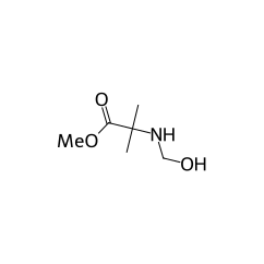 COC(=O)C(C)(C)NCO